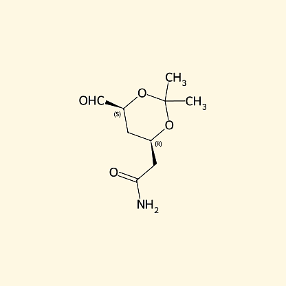 CC1(C)O[C@@H](CC(N)=O)C[C@@H](C=O)O1